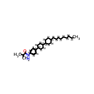 C=C(C)C(=O)Nc1ccc(C2CCC(C3CCC(CCCCCCCCC)CC3)CC2)cc1